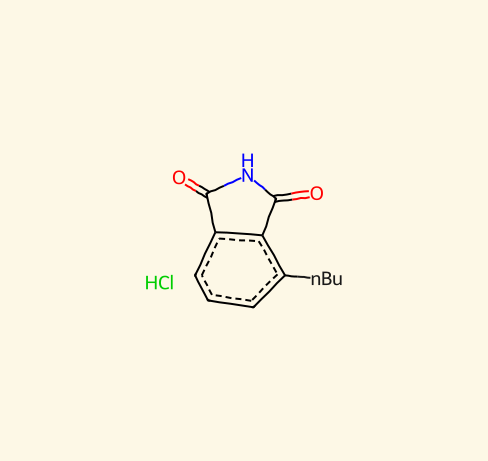 CCCCc1cccc2c1C(=O)NC2=O.Cl